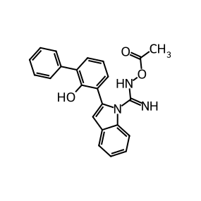 CC(=O)ONC(=N)n1c(-c2cccc(-c3ccccc3)c2O)cc2ccccc21